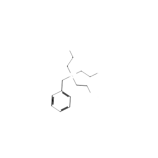 CCC[N+](CCC)(CCC)Cc1ccccc1